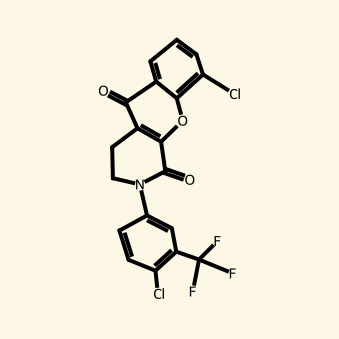 O=C1c2oc3c(Cl)cccc3c(=O)c2CCN1c1ccc(Cl)c(C(F)(F)F)c1